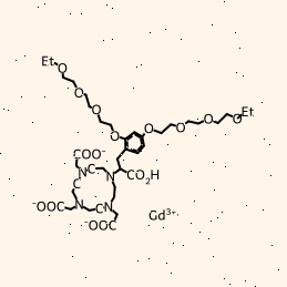 CCOCCOCCOCCOc1ccc(CC(C(=O)O)N2CCN(CC(=O)[O-])CCN(CC(=O)[O-])CCN(CC(=O)[O-])CC2)c(OCCOCCOCCOCC)c1.[Gd+3]